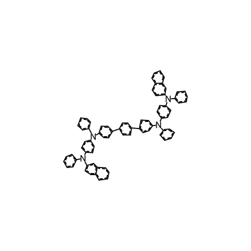 c1ccc(N(c2ccc(-c3ccc(-c4ccc(N(c5ccccc5)c5ccc(N(c6ccccc6)c6ccc7ccccc7c6)cc5)cc4)cc3)cc2)c2ccc(N(c3ccccc3)c3ccc4ccccc4c3)cc2)cc1